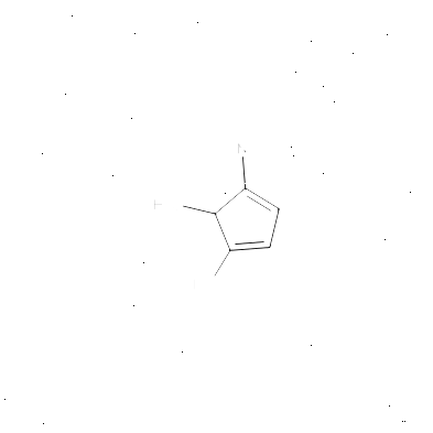 CC1C(C=O)=CC=C1N=O